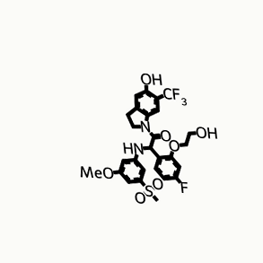 COc1cc(NC(C(=O)N2CCc3cc(O)c(C(F)(F)F)cc32)c2ccc(F)cc2OCCO)cc(S(C)(=O)=O)c1